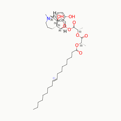 CCCCCCCC/C=C/CCCCCCCC(=O)O[C@@H](C)C(=O)O[C@@H](C)C(=O)OC1=CC[C@@]2(O)[C@H]3Cc4ccc(O)c5c4[C@@]2(CCCN3C)[C@H]1O5